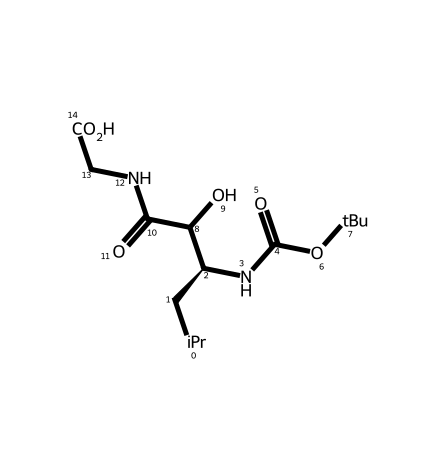 CC(C)C[C@H](NC(=O)OC(C)(C)C)C(O)C(=O)NCC(=O)O